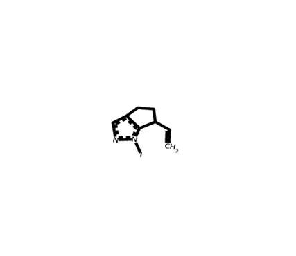 C=CC1CCc2cnn(I)c21